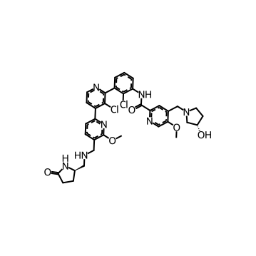 COc1cnc(C(=O)Nc2cccc(-c3nccc(-c4ccc(CNC[C@H]5CCC(=O)N5)c(OC)n4)c3Cl)c2Cl)cc1CN1CC[C@H](O)C1